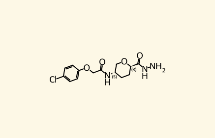 NNC(=O)[C@H]1CC[C@H](NC(=O)COc2ccc(Cl)cc2)CO1